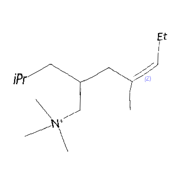 CC/C=C(/C)CC(CC(C)C)C[N+](C)(C)C